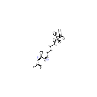 C=C(C)/C=C(Cl)\C=C/CCCCOS(=O)(=O)NC